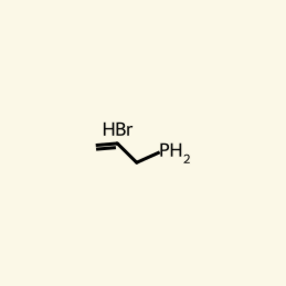 Br.C=CCP